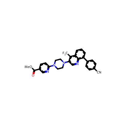 COC(=O)c1ccc(N2CCN(c3cnc4c(-c5ccc(C#N)cc5)cccc4c3C(F)(F)F)CC2)nc1